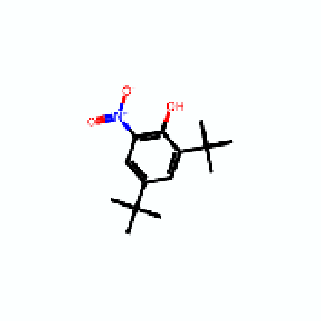 CC(C)(C)c1cc([N+](=O)[O-])c(O)c(C(C)(C)C)c1